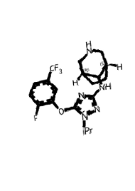 CC(C)n1nc(NC2[C@@H]3CC[C@H]2CNC3)nc1Oc1cc(C(F)(F)F)ccc1F